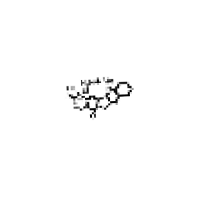 CC[C@@]1(O)C(=O)OCc2c1cc1n(c2=O)Cc2cc3ccccc3nc2-1.CNN